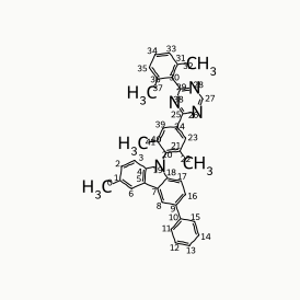 Cc1ccc2c(c1)c1cc(-c3ccccc3)ccc1n2-c1c(C)cc(-c2ncnc(-c3c(C)cccc3C)n2)cc1C